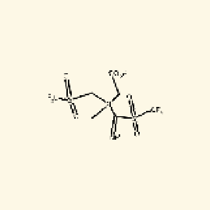 C[N+](CC(=O)O)(CS(=O)(=O)C(F)(F)F)C(=N)S(=O)(=O)C(F)(F)F